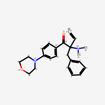 C=CC(Cc1ccccc1)(C(=O)c1ccc(N2CCOCC2)cc1)N(CC)CC